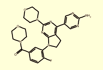 Nc1ncc(-c2nc(N3CCOCC3)nc3c2CCN3c2cc(C(=O)N3CCOCC3)ccc2F)cn1